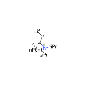 CCCCCC.[Li][CH2]CN(C(C)C)C(C)C